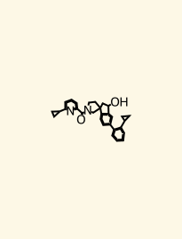 O=C(c1cccc(C2CC2)n1)N1CCC2(CC(O)c3cc(-c4ccccc4C4CC4)ccc32)C1